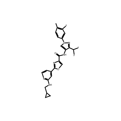 Cc1ccc(-n2cc(NC(=O)c3coc(-c4ccnc(NCC5CC5)c4)n3)c(C(F)F)n2)cc1F